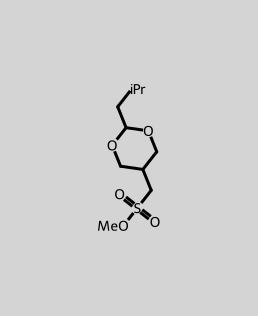 COS(=O)(=O)CC1COC(CC(C)C)OC1